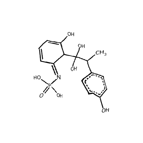 CC(c1ccc(O)cc1)C(O)(O)C1C(O)=CC=CC1=NP(=O)(O)O